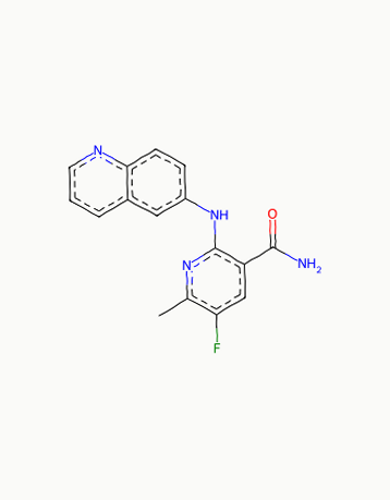 Cc1nc(Nc2ccc3ncccc3c2)c(C(N)=O)cc1F